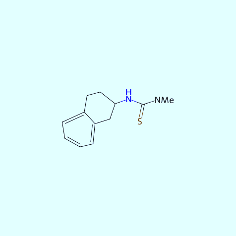 CNC(=S)NC1CCc2ccccc2C1